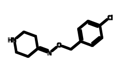 Clc1ccc(CON=C2CCNCC2)cc1